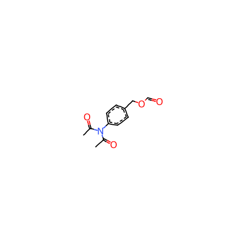 CC(=O)N(C(C)=O)c1ccc(COC=O)cc1